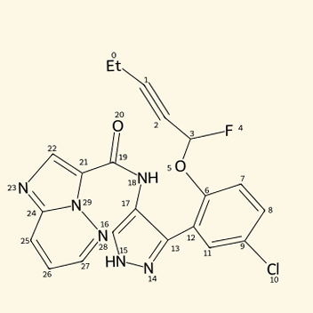 CCC#CC(F)Oc1ccc(Cl)cc1-c1n[nH]cc1NC(=O)c1cnc2cccnn12